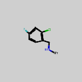 CC(C)NCc1ccc(F)cc1Cl